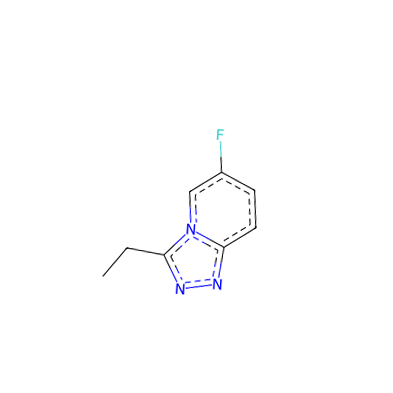 CCc1nnc2ccc(F)cn12